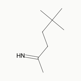 CC(=N)CCC(C)(C)C